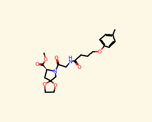 COC(=O)[C@@H]1CC2(CN1C(=O)CNC(=O)CCCOc1ccc(C)cc1)OCCO2